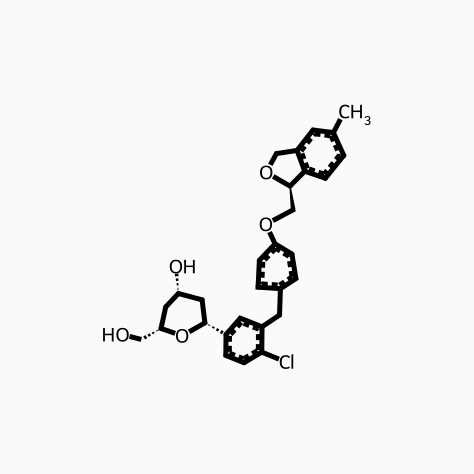 Cc1ccc2c(c1)CO[C@@H]2COc1ccc(Cc2cc([C@H]3C[C@@H](O)C[C@@H](CO)O3)ccc2Cl)cc1